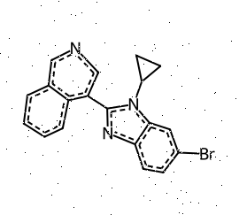 Brc1ccc2nc(-c3cncc4ccccc34)n(C3CC3)c2c1